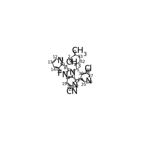 CC1CCC(Cn2c(C(C)c3ncccc3F)nc3cc(C#N)nc(-c4cncc(Cl)c4)c32)CC1